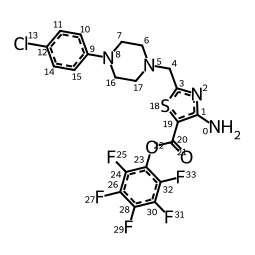 Nc1nc(CN2CCN(c3ccc(Cl)cc3)CC2)sc1C(=O)Oc1c(F)c(F)c(F)c(F)c1F